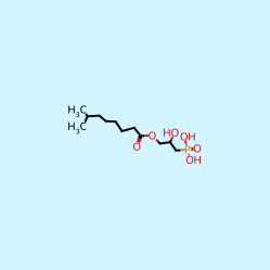 CC(C)CCCCCC(=O)OCC(O)CP(=O)(O)O